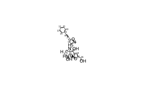 CC(NCc1cc(C#Cc2ccccc2)on1)(C(=O)NO)C(O)c1cc(CO)on1